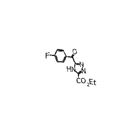 CCOC(=O)c1nnc(C(=O)c2ccc(F)cc2)[nH]1